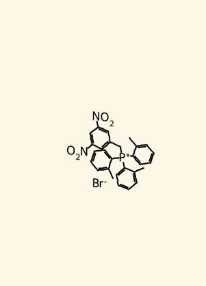 Cc1ccccc1[P+](Cc1cc([N+](=O)[O-])cc([N+](=O)[O-])c1)(c1ccccc1C)c1ccccc1C.[Br-]